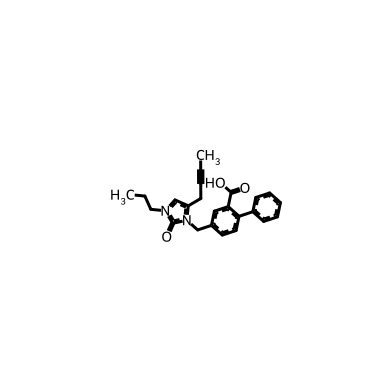 CC#CCc1cn(CCC)c(=O)n1Cc1ccc(-c2ccccc2)c(C(=O)O)c1